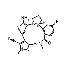 CN1Cc2nn(C)c(C#N)c2-c2cnc(N)c(c2)N2CCC[C@@H]2c2cc(F)ccc2C1=O